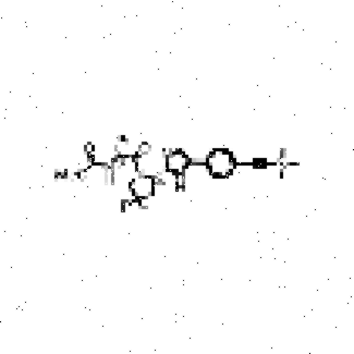 COC(=O)N[C@H](C(=O)N1CC(F)(F)C[C@H]1c1ncc(-c2ccc(C#C[Si](C)(C)C)cc2)[nH]1)C(C)C